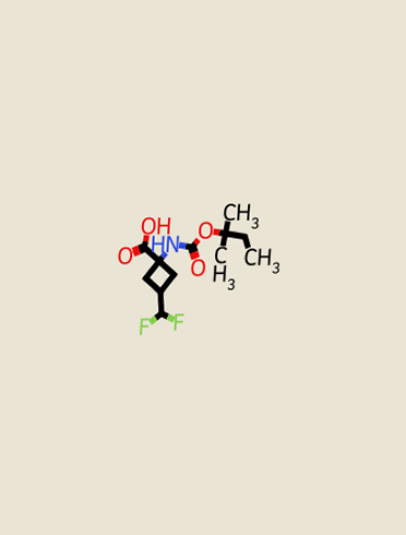 CCC(C)(C)OC(=O)NC1(C(=O)O)CC(C(F)F)C1